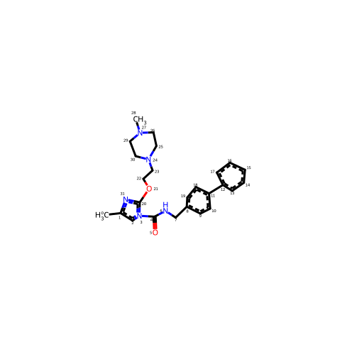 Cc1cn(C(=O)NCc2ccc(-c3ccccc3)cc2)c(OCCN2CCN(C)CC2)n1